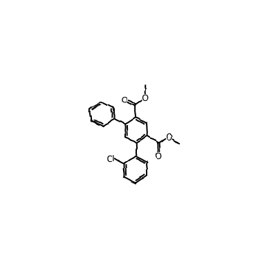 COC(=O)c1cc(C(=O)OC)c(-c2ccccc2Cl)cc1-c1ccccc1